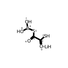 O=C(S)C(=O)SB(O)O.[LiH]